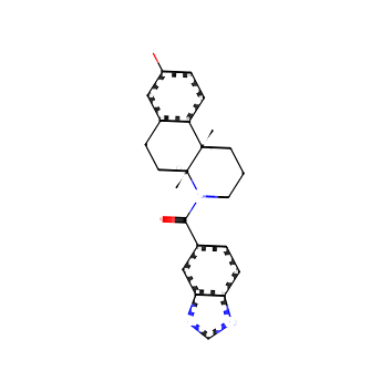 O=C(c1ccc2[nH]cnc2c1)N1CCC[C@H]2c3ccc(O)cc3CC[C@H]21